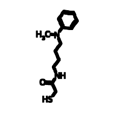 CN(CCCCNC(=O)CS)c1ccccc1